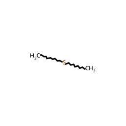 CCCCCCCCCCCSCCCCCCCCCC